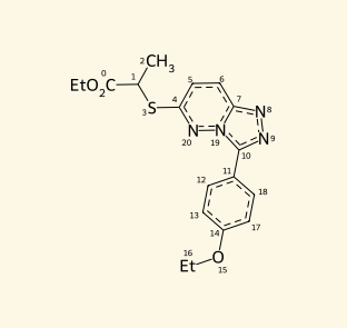 CCOC(=O)C(C)Sc1ccc2nnc(-c3ccc(OCC)cc3)n2n1